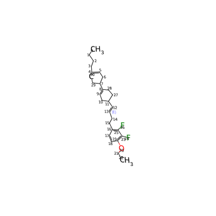 CCCCC1=CCC(C2=CCC(/C=C/CCc3ccc(OCC)c(F)c3F)CC2)CC1